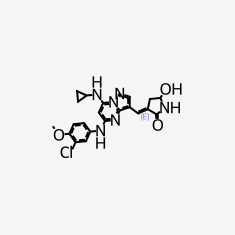 COc1ccc(Nc2cc(NC3CC3)n3ncc(/C=C4\CC(O)NC4=O)c3n2)cc1Cl